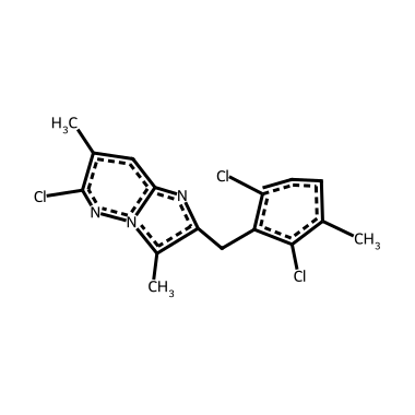 Cc1cc2nc(Cc3c(Cl)ccc(C)c3Cl)c(C)n2nc1Cl